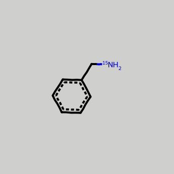 [15NH2]Cc1ccccc1